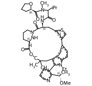 CCn1c(-c2cccnc2[C@H](C)OC)c2c3cc(ccc31)-c1csc(n1)C[C@H](NC(=O)C(C(C)C)N(C)C(=O)[C@H]1CCCO1)C(=O)N1CCC[C@H](N1)C(=O)OCC(C)(C)C2